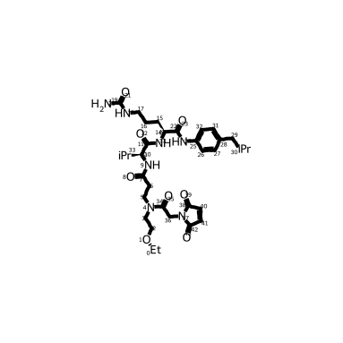 CCOCCN(CCC(=O)N[C@H](C(=O)N[C@@H](CCCNC(N)=O)C(=O)Nc1ccc(CC(C)C)cc1)C(C)C)C(=O)CN1C(=O)C=CC1=O